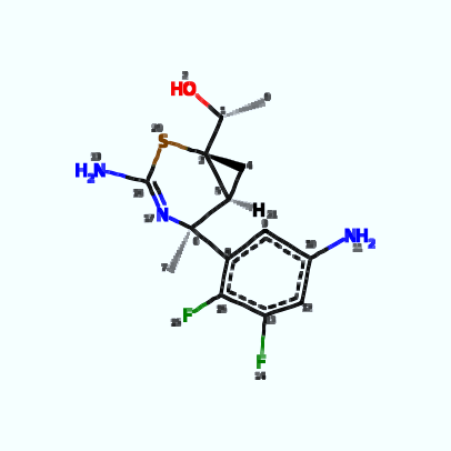 C[C@@H](O)[C@]12C[C@H]1[C@@](C)(c1cc(N)cc(F)c1F)N=C(N)S2